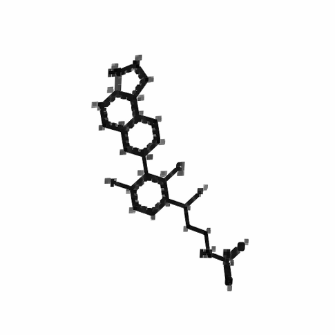 O=[SH](=O)NCCC(F)c1ccc(F)c(-c2ccc3c(cnc4[nH]ncc43)c2)c1Cl